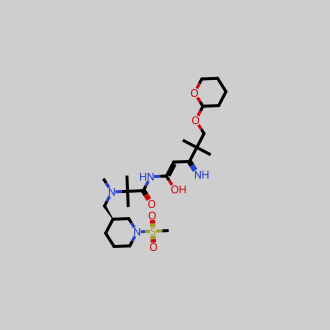 CN(C[C@@H]1CCCN(S(C)(=O)=O)C1)C(C)(C)C(=O)N/C(O)=C/C(=N)C(C)(C)COC1CCCCO1